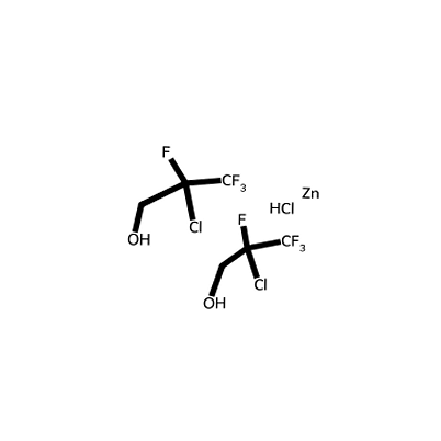 Cl.OCC(F)(Cl)C(F)(F)F.OCC(F)(Cl)C(F)(F)F.[Zn]